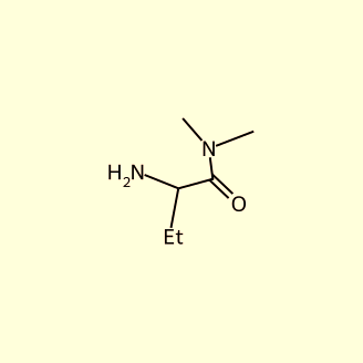 CCC(N)C(=O)N(C)C